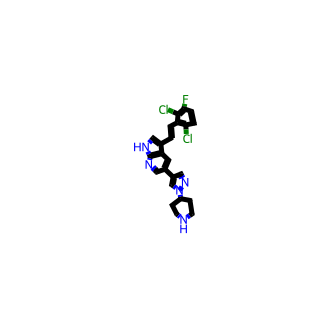 Fc1ccc(Cl)c(/C=C/c2c[nH]c3ncc(-c4cnn(C5CCNCC5)c4)cc23)c1Cl